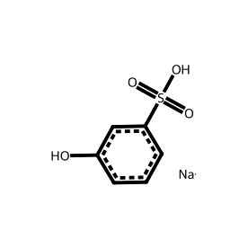 O=S(=O)(O)c1cccc(O)c1.[Na]